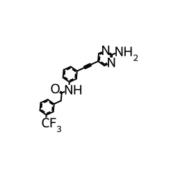 Nc1ncc(C#Cc2cccc(NC(=O)Cc3cccc(C(F)(F)F)c3)c2)cn1